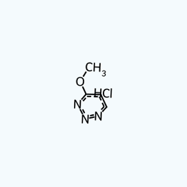 COc1ccnnn1.Cl